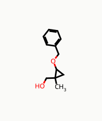 CC1(CO)CC1OCc1ccccc1